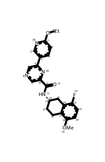 CCOc1ccc(-c2cncc(C(=O)N[C@H]3CCc4c(OC)ccc(F)c4C3)n2)cn1